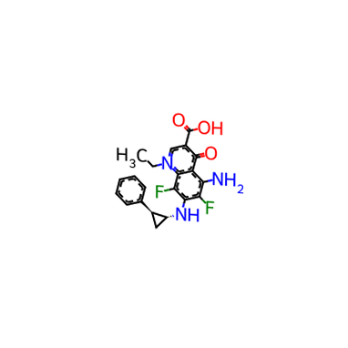 CCn1cc(C(=O)O)c(=O)c2c(N)c(F)c(N[C@@H]3C[C@H]3c3ccccc3)c(F)c21